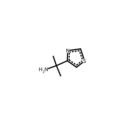 CC(C)(N)c1cscn1